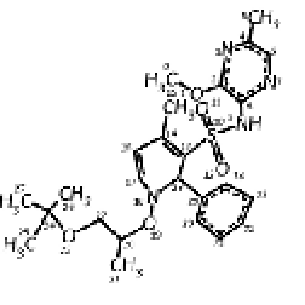 COc1nc(C)cnc1NS(=O)(=O)C1=C(C)C=CN(OC(C)COC(C)(C)C)C1c1ccccc1